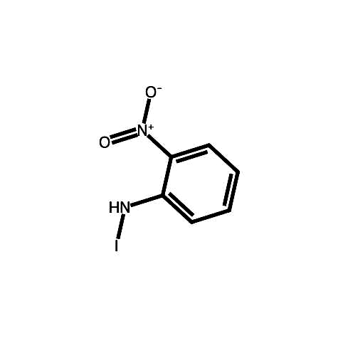 O=[N+]([O-])c1ccccc1NI